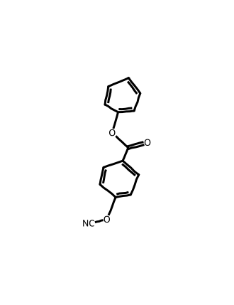 N#COc1ccc(C(=O)Oc2ccccc2)cc1